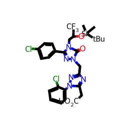 CC(C)(C)[Si](C)(C)OC(Cn1c(-c2ccc(Cl)cc2)nn(Cc2nc(CC(=O)O)n(-c3ccccc3Cl)n2)c1=O)C(F)(F)F